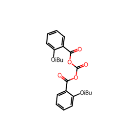 CC(C)COc1ccccc1C(=O)OC(=O)OC(=O)c1ccccc1OCC(C)C